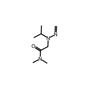 C=NN(CC(=O)N(C)C)C(C)C